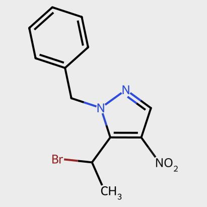 CC(Br)c1c([N+](=O)[O-])cnn1Cc1ccccc1